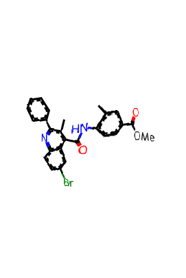 COC(=O)c1ccc(NC(=O)c2c(C)c(-c3ccccc3)nc3ccc(Br)cc23)c(C)c1